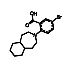 O=C(O)c1cc(Br)ccc1N1CCC2CCCCC2CC1